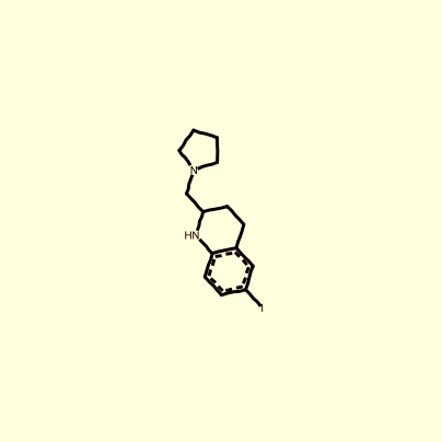 Ic1ccc2c(c1)CCC(CN1CCCC1)N2